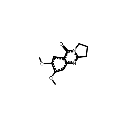 COc1cc2nc3n(c(=O)c2cc1OC)CCC3